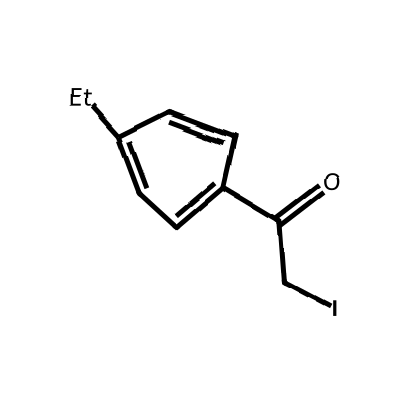 CCc1ccc(C(=O)CI)cc1